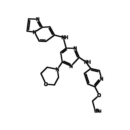 CC(C)(C)COc1ccc(Nc2nc(Nc3ccn4ccnc4c3)cc(N3CCOCC3)n2)cn1